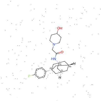 O=C(CN1CCC(O)CC1)N[C@@]12C[C@H]3C[C@@H](C1)C[C@@](c1ccc(F)cc1)(C3)C2